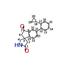 O=C1CC2(CN1)CC(=O)c1cc(-c3ccccc3C3CC3)ccc12